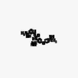 CC(=N)N1CCC(Oc2ccc(NC(=O)CNc3cccc(C(=N)N)c3)cc2)CC1.Cl.Cl